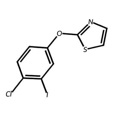 Clc1ccc(Oc2nccs2)cc1I